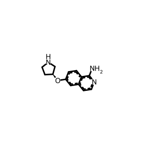 Nc1nccc2cc(O[C@H]3CCNC3)ccc12